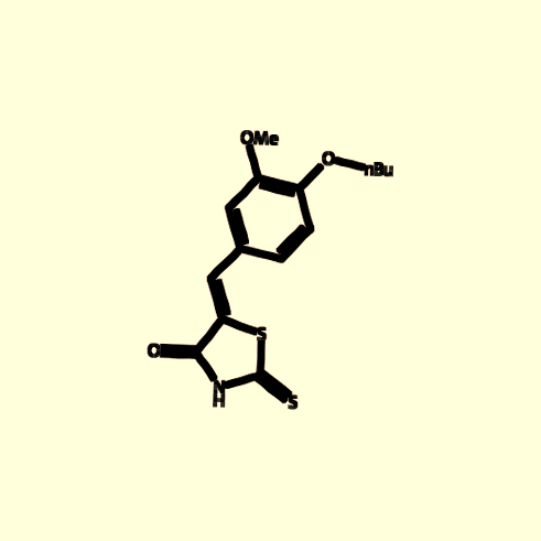 CCCCOc1ccc(/C=C2\SC(=S)NC2=O)cc1OC